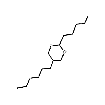 CCCCCCC1COC(CCCCC)OC1